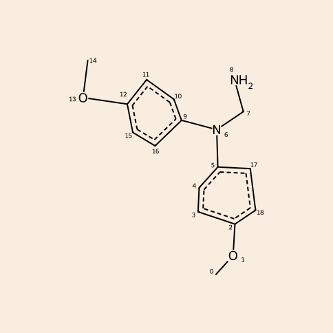 COc1ccc(N(CN)c2ccc(OC)cc2)cc1